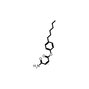 CCCCCCc1ccc(OC(=O)/C=C\C(N)=O)cc1